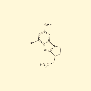 CSc1cc(Br)c2cc3n(c2c1)CCC3CC(=O)O